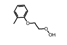 Cc1ccccc1OCCOO